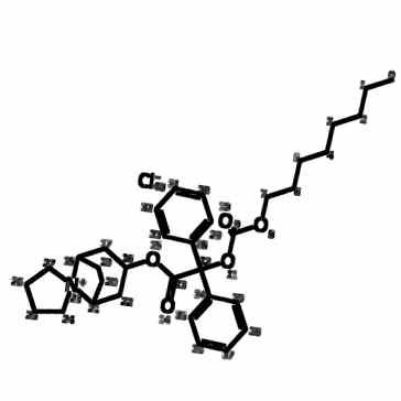 CCCCCCCCOC(=O)OC(C(=O)OC1CC2CCC(C1)[N+]21CCCC1)(c1ccccc1)c1ccccc1.[Cl-]